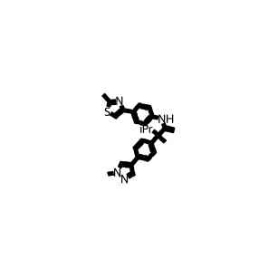 C=C(Nc1ccc(-c2csc(C)n2)cc1)C(C)(c1ccc(-c2cnn(C)c2)cc1)C(C)C